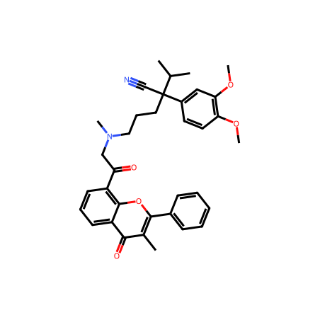 COc1ccc(C(C#N)(CCCN(C)CC(=O)c2cccc3c(=O)c(C)c(-c4ccccc4)oc23)C(C)C)cc1OC